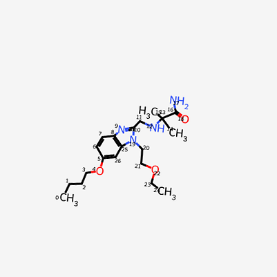 CCCCOc1ccc2nc(CNC(C)(C)C(N)=O)n(CCOCC)c2c1